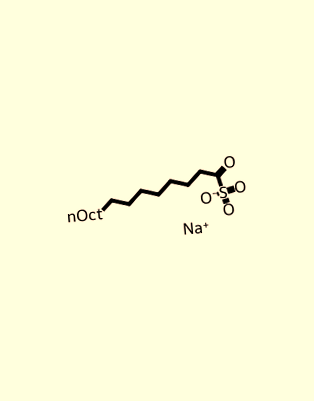 CCCCCCCCCCCCCCCC(=O)S(=O)(=O)[O-].[Na+]